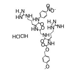 COc1ccc(COC(=O)N[C@H](CCCNC(=N)N)C(=O)NCC(=O)N[C@@H](CCCNC(=N)N)C(=O)Nc2ccc([N+](=O)[O-])cc2)cc1.Cl.Cl